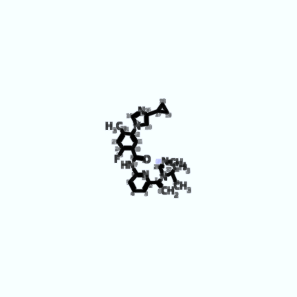 C=C(c1cccc(NC(=O)c2cc(-n3cnc(C4CC4)c3)c(C)cc2F)n1)N(/C=N\C)C(C)C